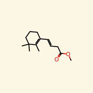 COC(=O)CC=CC1=C(C)C(C)(C)CCC1